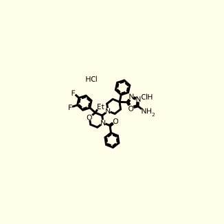 CCC1(c2ccc(F)c(F)c2)OCCN(C(=O)c2ccccc2)C1N1CCC(c2ccccc2)(c2nnc(N)o2)CC1.Cl.Cl